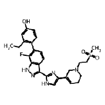 CCc1cc(O)ccc1-c1ccc2c(-c3nc(C4=CCCN(CCS(C)(=O)=O)C4)c[nH]3)n[nH]c2c1F